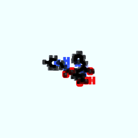 CC1CCN(CCNC(=O)OC[C@]2(C)CC3/C(=C\c4ccccn4)C(=O)N3[C@H]2C(=O)O)CC1